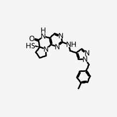 Cc1ccc(Cn2cc(CNc3ncc4c(n3)N3CCC[C@]3(S)C(=O)N4)cn2)cc1